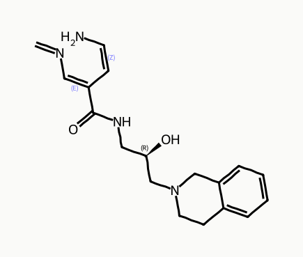 C=N/C=C(\C=C/N)C(=O)NC[C@@H](O)CN1CCc2ccccc2C1